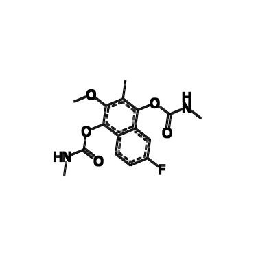 CNC(=O)Oc1c(C)c(OC)c(OC(=O)NC)c2ccc(F)cc12